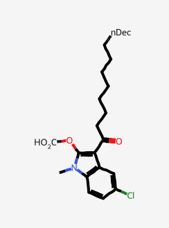 CCCCCCCCCCCCCCCCCC(=O)c1c(OC(=O)O)n(C)c2ccc(Cl)cc12